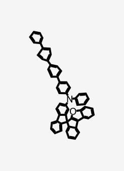 c1ccc(-c2ccc(-c3ccc(-c4ccc(N(c5ccccc5)c5ccc6c(c5)C5(c7ccccc7-6)c6ccccc6-c6c5oc5ccccc65)cc4)cc3)cc2)cc1